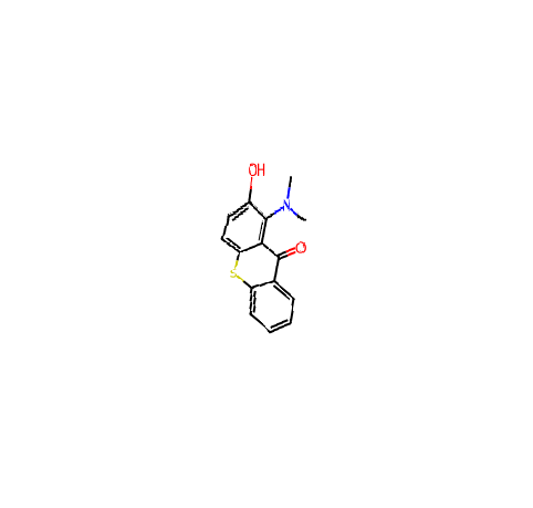 CN(C)c1c(O)ccc2sc3ccccc3c(=O)c12